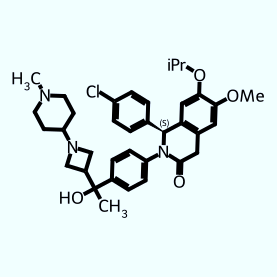 COc1cc2c(cc1OC(C)C)[C@H](c1ccc(Cl)cc1)N(c1ccc(C(C)(O)C3CN(C4CCN(C)CC4)C3)cc1)C(=O)C2